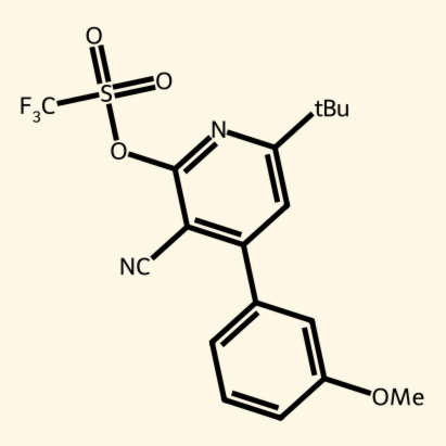 COc1cccc(-c2cc(C(C)(C)C)nc(OS(=O)(=O)C(F)(F)F)c2C#N)c1